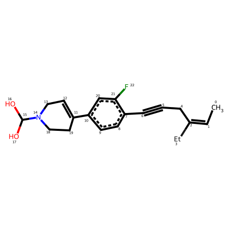 C/C=C(/CC)CC#Cc1ccc(C2=CCN(C(O)O)CC2)cc1F